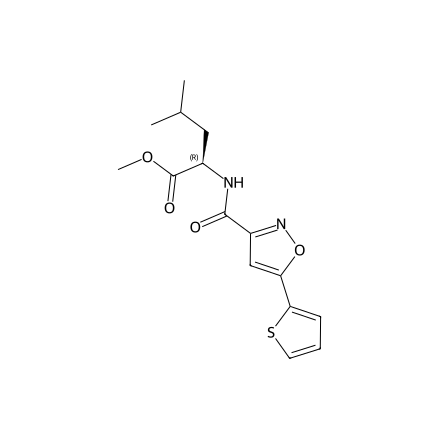 COC(=O)[C@@H](CC(C)C)NC(=O)c1cc(-c2cccs2)on1